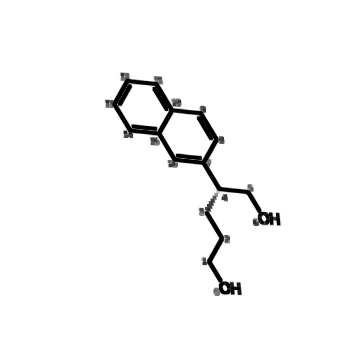 OCCC[C@@H](CO)c1ccc2ccccc2c1